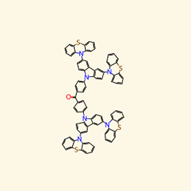 O=C(c1ccc(-n2c3ccc(N4c5ccccc5Sc5ccccc54)cc3c3cc(N4c5ccccc5Sc5ccccc54)ccc32)cc1)c1ccc(-n2c3ccc(N4c5ccccc5Sc5ccccc54)cc3c3cc(N4c5ccccc5Sc5ccccc54)ccc32)cc1